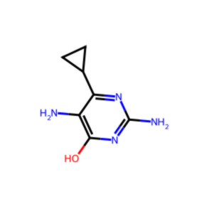 Nc1nc(O)c(N)c(C2CC2)n1